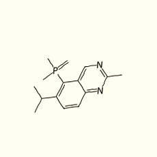 C=P(C)(C)c1c(C(C)C)ccc2nc(C)ncc12